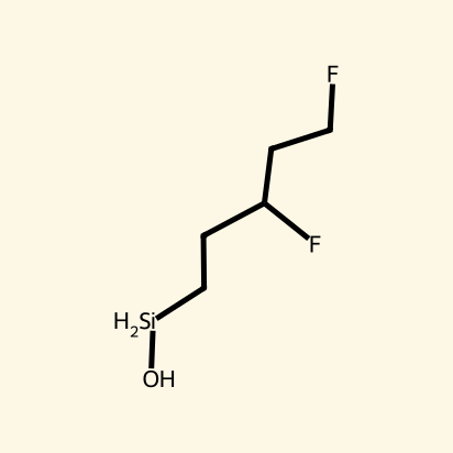 O[SiH2]CCC(F)CCF